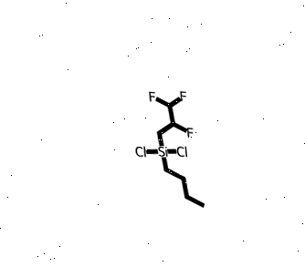 CCCC[Si](Cl)(Cl)CC(F)C(F)F